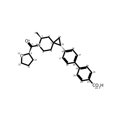 C[C@H]1CC2(CCN1C(=O)[C@H]1CCCO1)C[C@@H]2c1ccc(-c2ccc(C(=O)O)cc2)cc1